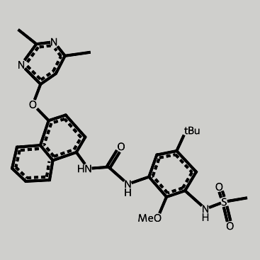 COc1c(NC(=O)Nc2ccc(Oc3cc(C)nc(C)n3)c3ccccc23)cc(C(C)(C)C)cc1NS(C)(=O)=O